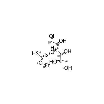 CCOC(=S)S.OC[C@@H](O)[C@@H](O)[C@H](O)[C@H](O)CO